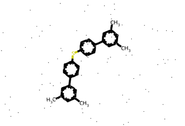 Cc1cc(C)cc(-c2ccc(Sc3ccc(-c4cc(C)cc(C)c4)cc3)cc2)c1